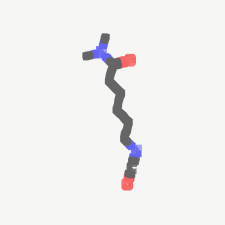 CN(C)C(=O)CCCCCN=C=O